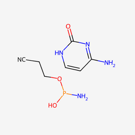 N#CCCOP(N)O.Nc1cc[nH]c(=O)n1